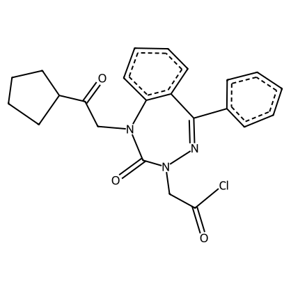 O=C(Cl)CN1N=C(c2ccccc2)c2ccccc2N(CC(=O)C2CCCC2)C1=O